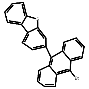 CCc1c2ccccc2c(-c2ccc3c(c2)sc2ccccc23)c2ccccc12